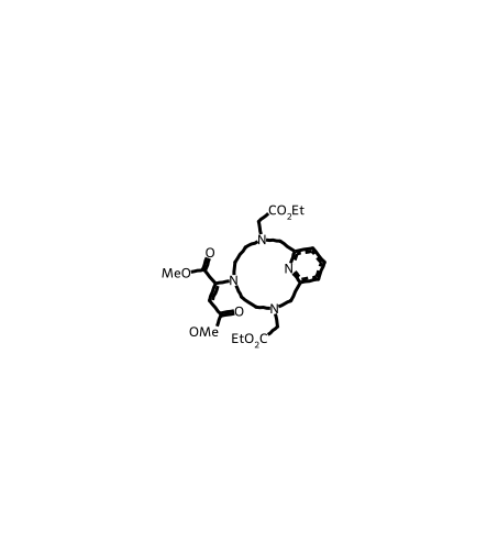 CCOC(=O)CN1CCN(/C(=C\C(=O)OC)C(=O)OC)CCN(CC(=O)OCC)Cc2cccc(n2)C1